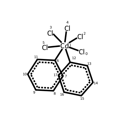 [Cl][Cd]([Cl])([Cl])([Cl])([Cl])([c]1ccccc1)[c]1ccccc1